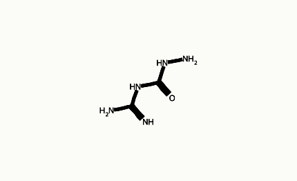 N=C(N)NC(=O)NN